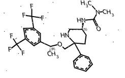 C[C@@H](OCC1(c2ccccc2)CC[C@H](NC(=O)N(C)C)CN1)c1cc(C(F)(F)F)cc(C(F)(F)F)c1